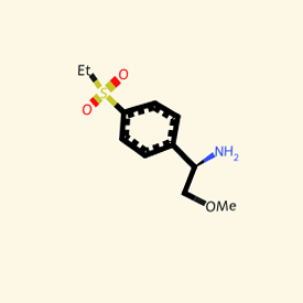 CCS(=O)(=O)c1ccc([C@@H](N)COC)cc1